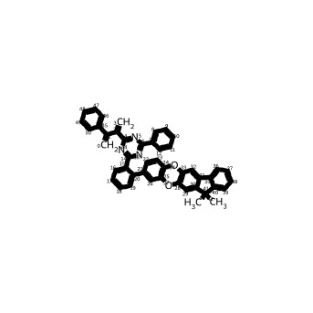 C=C(C(=C)c1nc(-c2ccccc2)nc(-c2ccccc2-c2ccc3c(c2)Oc2cc4c(cc2O3)-c2ccccc2C4(C)C)n1)c1ccccc1